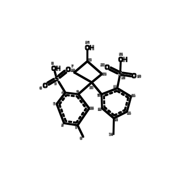 Cc1ccc(S(=O)(=O)O)c(C2(c3cc(C)ccc3S(=O)(=O)O)CC(O)C2)c1